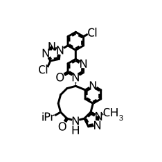 CC(C)C1CCC[C@H](n2cnc(-c3cc(Cl)ccc3-n3cc(Cl)nn3)cc2=O)c2cc(ccn2)-c2c(cnn2C)NC1=O